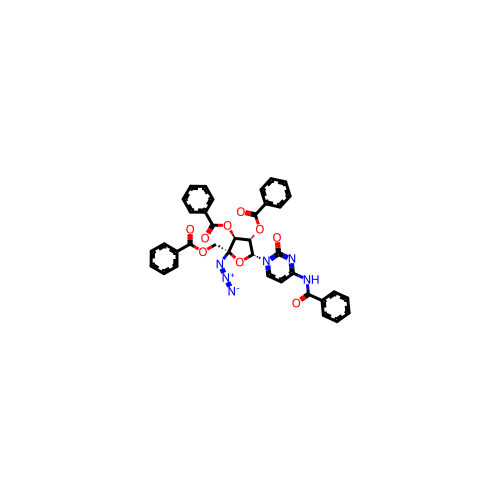 [N-]=[N+]=N[C@]1(COC(=O)c2ccccc2)O[C@@H](n2ccc(NC(=O)c3ccccc3)nc2=O)[C@@H](OC(=O)c2ccccc2)[C@@H]1OC(=O)c1ccccc1